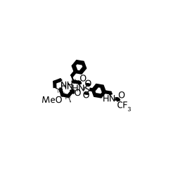 CO[C@@H]([C@@H]1CCCN1)[C@@H](C)C(=O)N[C@@H](Cc1ccccc1)C(=O)NS(=O)(=O)c1ccc(CNC(=O)C(F)(F)F)cc1